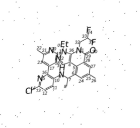 CCn1ncc2c3c(C(C)Nc4ccc(Cl)nc4-c4ccnc(C)c4)cc(C)cc3c(=O)n(CC(F)F)c21